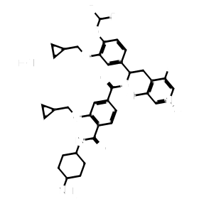 Cl.NC1CCC(NC(=O)c2ccc(C(=O)OC(Cc3c(Cl)c[n+]([O-])cc3Cl)c3ccc(OC(F)F)c(OCC4CC4)c3)cc2OCC2CC2)CC1